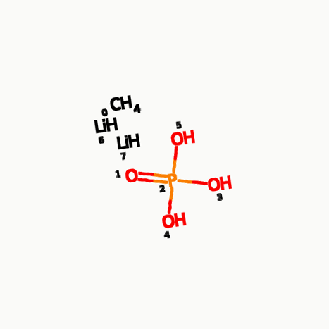 C.O=P(O)(O)O.[LiH].[LiH]